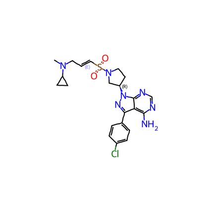 CN(C/C=C/S(=O)(=O)N1CC[C@@H](n2nc(-c3ccc(Cl)cc3)c3c(N)ncnc32)C1)C1CC1